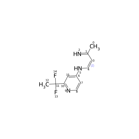 CC(=N)/C=C\Nc1ccnc(C(C)(F)F)c1